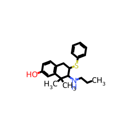 CCCNC1C(Sc2ccccc2)Cc2ccc(O)cc2C1(C)C